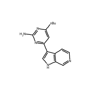 CCCCc1cc(-c2c[nH]c3cnccc23)nc(N)n1